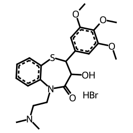 Br.COc1cc(C2Sc3ccccc3N(CCN(C)C)C(=O)C2O)cc(OC)c1OC